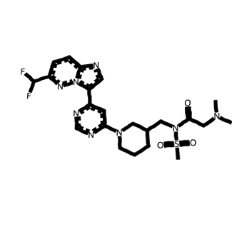 CN(C)CC(=O)N(CC1CCCN(c2cc(-c3cnc4ccc(C(F)F)nn34)ncn2)C1)S(C)(=O)=O